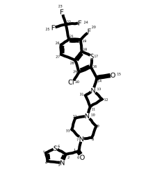 O=C(c1nccs1)N1CCN(C2CN(C(=O)c3sc4c(F)c(C(F)(F)F)ccc4c3Cl)C2)CC1